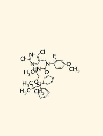 COc1ccc(N(Cc2cnc(Cl)nc2Cl)C(=O)N[C@@H](C)CO[Si](c2ccccc2)(c2ccccc2)C(C)(C)C)c(F)c1